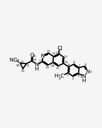 Cc1cc2[nH]ncc2cc1-c1cc(Cl)c2cnc(NC(=O)C3C[C@H]3C#N)cc2c1